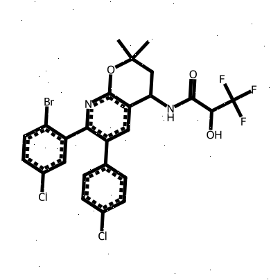 CC1(C)CC(NC(=O)C(O)C(F)(F)F)c2cc(-c3ccc(Cl)cc3)c(-c3cc(Cl)ccc3Br)nc2O1